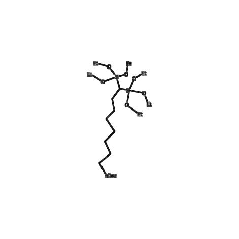 CCCCCCCCCCCCCCCCCC([Si](OCC)(OCC)OCC)[Si](OCC)(OCC)OCC